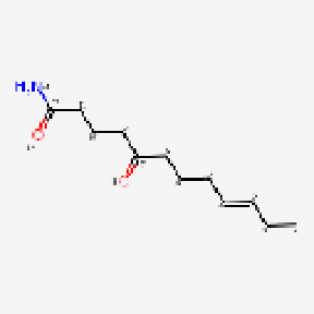 CCC=CCCCC(=O)CCCC(N)=O